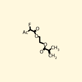 C=C(C)C(=O)OCCOC(=O)C(F)C(C)=O